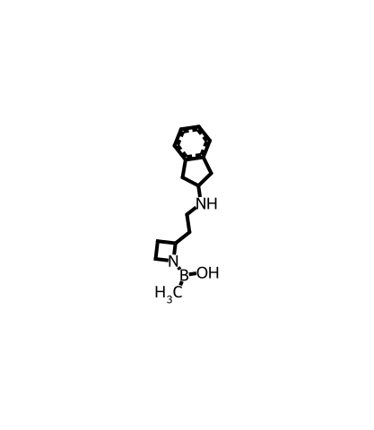 CB(O)N1CCC1CCNC1Cc2ccccc2C1